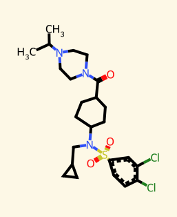 CC(C)N1CCN(C(=O)C2CCC(N(CC3CC3)S(=O)(=O)c3ccc(Cl)c(Cl)c3)CC2)CC1